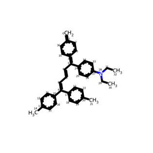 C=c1ccc(=C(/C=C/C=C(c2ccc(C)cc2)c2ccc(C)cc2)c2ccc(N(CC)CC)cc2)cc1